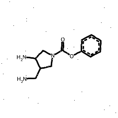 NCC1CN(C(=O)Oc2ccccc2)CC1N